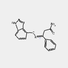 NC(=O)C/C(=N\Oc1cccc2[nH]nnc12)c1ccccc1